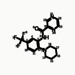 O=C(Nc1cc(C(F)(F)F)ccc1N1CCCCC1)c1cnccn1